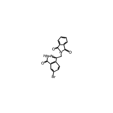 O=C1c2ccccc2C(=O)N1Cc1n[nH]c(=O)c2cc(Br)ccc12